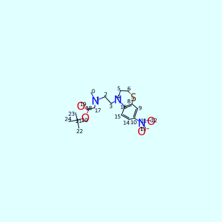 CN(CCN1CCSc2cc([N+](=O)[O-])ccc21)CC(=O)OC(C)(C)C